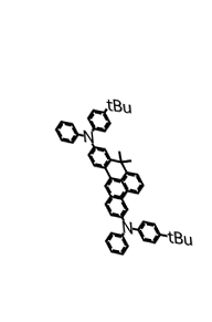 CC(C)(C)c1ccc(N(c2ccccc2)c2ccc3c(c2)C(C)(C)c2cccc4c2c-3cc2ccc(N(c3ccccc3)c3ccc(C(C)(C)C)cc3)cc24)cc1